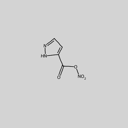 O=C(O[N+](=O)[O-])c1ccn[nH]1